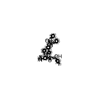 Cn1ccnc1-c1ccc(N2C(=O)[C@H](CC[C@H](O)c3ccc(F)cc3)[C@H]2c2ccc(-c3ccc(CC(C(=O)OCc4ccccc4)C(=O)OCc4ccccc4)cc3)cc2OCc2ccccc2)cc1